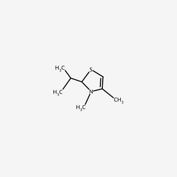 CC1=CSC(C(C)C)N1C